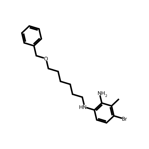 Cc1c(Br)ccc(NCCCCCCOCc2ccccc2)c1N